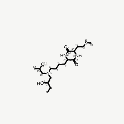 CCC(O)CN(CCCCC1NC(=O)C(CCSC)NC1=O)CC(C)O